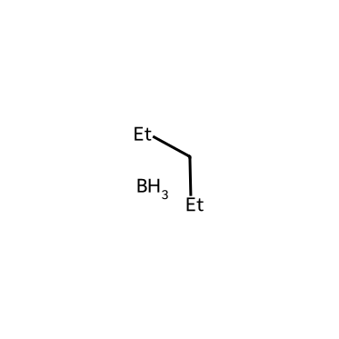 B.CCCCC